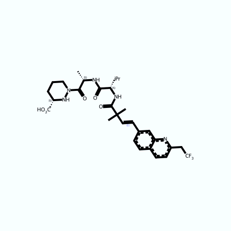 CC(C)[C@H](NC(=O)C(C)(C)/C=C/c1ccc2ccc(CC(F)(F)F)nc2c1)C(=O)N[C@@H](C)C(=O)N1CCC[C@@H](C(=O)O)N1